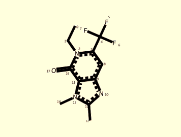 CCn1c(C(F)(F)F)cc2nc(C)n(C)c2c1=O